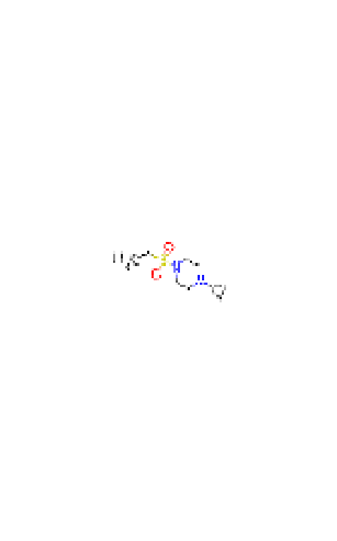 CCS(=O)(=O)N1CCN(C2CC2)CC1